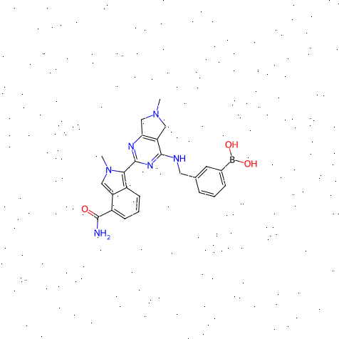 CN1Cc2nc(-c3c4cccc(C(N)=O)c4cn3C)nc(NCc3cccc(B(O)O)c3)c2C1